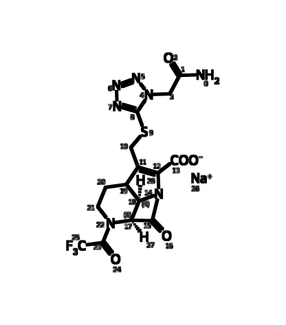 NC(=O)Cn1nnnc1SCC1=C(C(=O)[O-])N2C(=O)[C@@H]3[C@H]2C1CCN3C(=O)C(F)(F)F.[Na+]